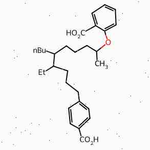 CCCCC(CCCC(C)Oc1ccccc1C(=O)O)C(CC)CCCc1ccc(C(=O)O)cc1